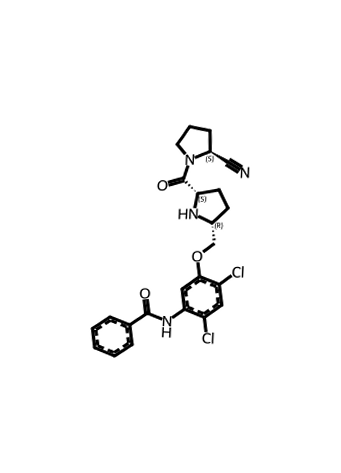 N#C[C@@H]1CCCN1C(=O)[C@@H]1CC[C@H](COc2cc(NC(=O)c3ccccc3)c(Cl)cc2Cl)N1